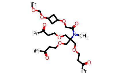 CC(C)OCOC1CC(OCC(=O)N(C)C(COCCC(=O)C(C)C)(COCCC(=O)C(C)C)COCCC(=O)C(C)C)C1